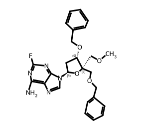 COC[C@]1(COCc2ccccc2)O[C@@H](n2cnc3c(N)nc(F)nc32)C[C@@H]1OCc1ccccc1